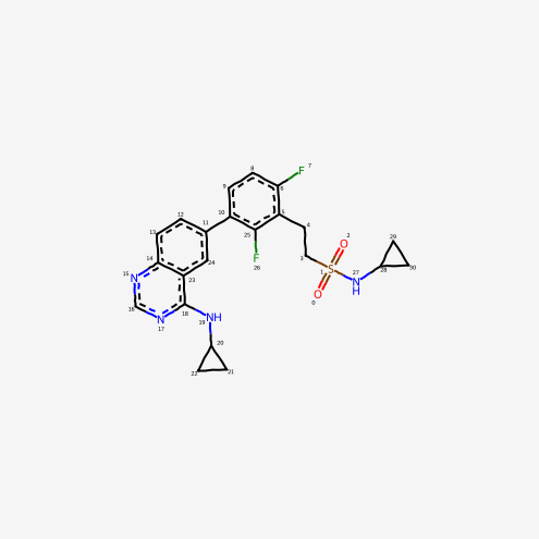 O=S(=O)(CCc1c(F)ccc(-c2ccc3ncnc(NC4CC4)c3c2)c1F)NC1CC1